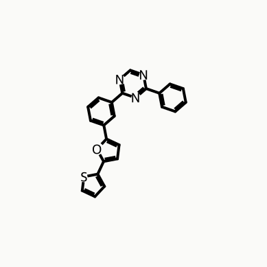 c1ccc(-c2ncnc(-c3cccc(-c4ccc(-c5cccs5)o4)c3)n2)cc1